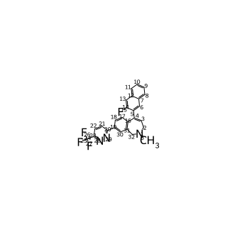 CN1CC=C(c2cc3ccccc3cc2F)c2ccc(-c3ccc(C(F)(F)F)nn3)cc2C1